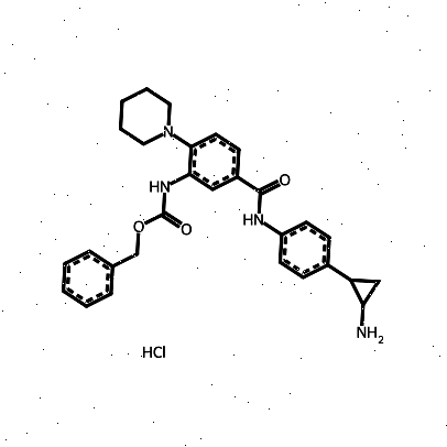 Cl.NC1CC1c1ccc(NC(=O)c2ccc(N3CCCCC3)c(NC(=O)OCc3ccccc3)c2)cc1